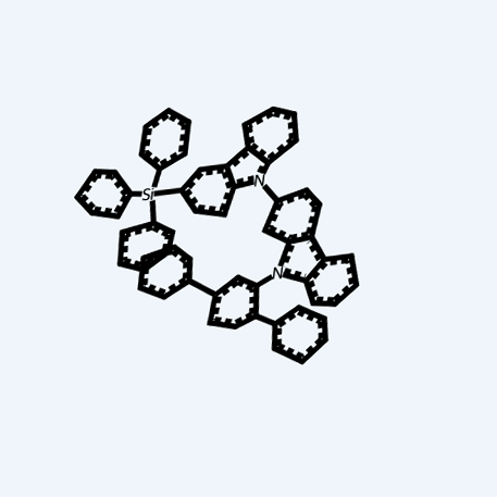 c1ccc(-c2ccc(-c3ccccc3)c(-n3c4ccccc4c4ccc(-n5c6ccccc6c6cc([Si](c7ccccc7)(c7ccccc7)c7ccccc7)ccc65)cc43)c2)cc1